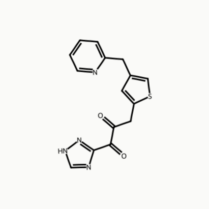 O=C(Cc1cc(Cc2ccccn2)cs1)C(=O)c1nc[nH]n1